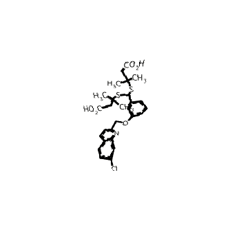 CC(C)(CC(=O)O)SC(SC(C)(C)CC(=O)O)c1cccc(OCc2ccc3ccc(Cl)cc3n2)c1